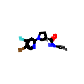 CNC(=O)[C@H]1CCN(c2cc(F)c(Br)cn2)C1